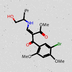 COC(=O)C(=CNC(CO)C(C)C)C(=O)c1cc(Br)c(OC)cc1OC